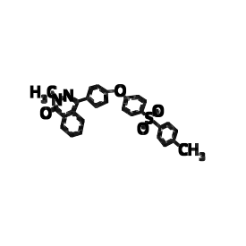 Cc1ccc(S(=O)(=O)c2ccc(Oc3ccc(-c4nn(C)c(=O)c5ccccc45)cc3)cc2)cc1